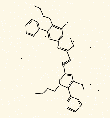 CCCCc1cc(N=CC(CC)=Nc2cc(C)c(CCCC)c(-c3ccccc3)c2)cc(CC)c1-c1ccccc1